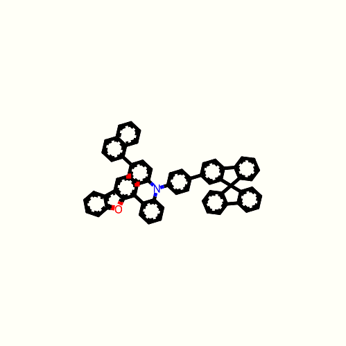 c1ccc(N(c2ccc(-c3ccc4c(c3)C3(c5ccccc5-c5ccccc53)c3ccccc3-4)cc2)c2ccc(-c3cccc4ccccc34)cc2)c(-c2cccc3c2oc2ccccc23)c1